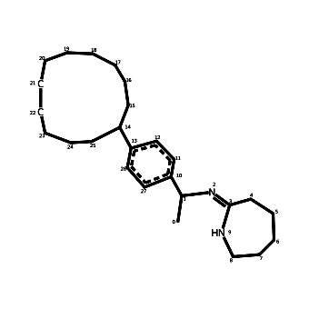 CC(N=C1CCCCCN1)c1ccc(C2CCCCCCCCCCC2)cc1